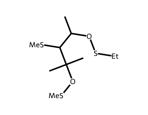 CCSOC(C)C(SC)C(C)(C)OSC